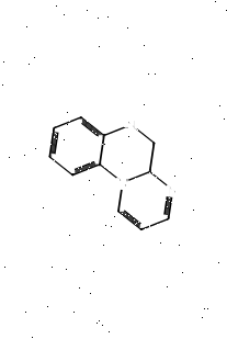 C1=CN2c3ccccc3NCC2N=C1